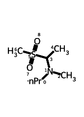 CC[CH]N(C)C(C)S(C)(=O)=O